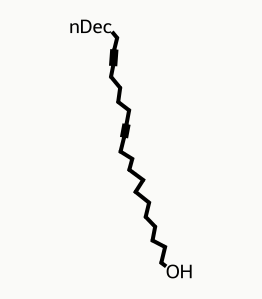 CCCCCCCCCCCC#CCCCCC#CCCCCCCCCCCCO